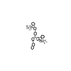 C[Si]1(C)c2ccccc2-c2cc(N(c3ccc(-c4ccc5c(c4)[Si](C)(C)c4ccccc4-5)cc3)c3cccc(-c4ccc5ccccc5c4)c3)ccc21